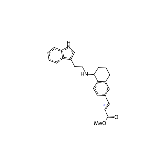 COC(=O)/C=C/c1ccc2c(c1)CCCC2NCCc1c[nH]c2ccccc12